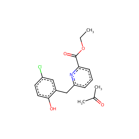 CC(C)=O.CCOC(=O)c1cccc(Cc2cc(Cl)ccc2O)n1